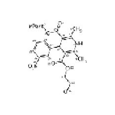 CCCCCOC(=O)C1=C(C)NC(C)=C(C(=O)OCCCl)C1c1cccc([N+](=O)[O-])c1